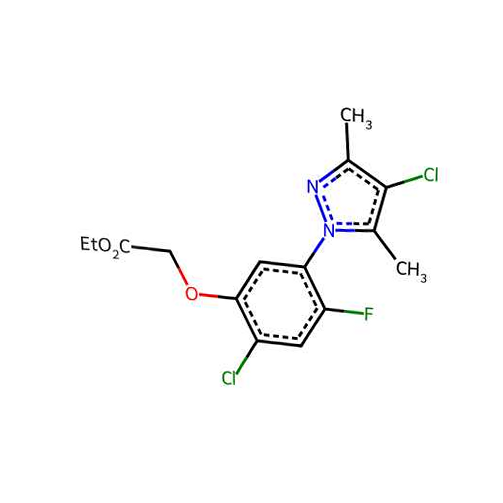 CCOC(=O)COc1cc(-n2nc(C)c(Cl)c2C)c(F)cc1Cl